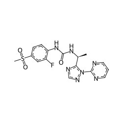 C[C@H](NC(=O)Nc1ccc(S(C)(=O)=O)cc1F)c1ncnn1-c1ncccn1